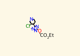 CCOC(=O)COc1nc(-c2ccncc2Cl)n(C)n1